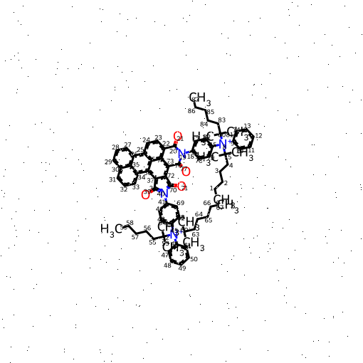 CCCCCC(C)(C)[N+](c1ccccc1)(c1ccc(N2C(=O)c3ccc4c5cccc6cccc(c65)c5c6c(=O)n(-c7ccc([N+](c8ccccc8)(C(C)(C)CCCCC)C(C)(C)CCCCC)cc7)c(=O)c6c(c3c45)C2=O)cc1)C(C)(C)CCCCC